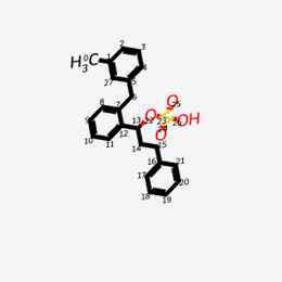 Cc1cccc(Cc2ccccc2C(CCc2ccccc2)OS(=O)(=O)O)c1